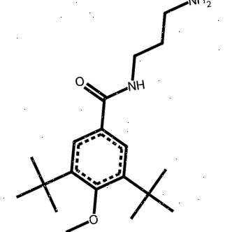 COc1c(C(C)(C)C)cc(C(=O)NCCCN)cc1C(C)(C)C